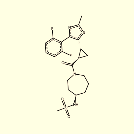 Cc1nc(-c2c(F)cccc2F)c([C@@H]2C[C@H]2C(=O)N2CCC[C@@H](NS(C)(=O)=O)CC2)s1